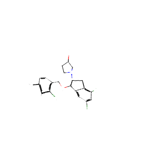 N#Cc1ccc(COC2c3cc(Cl)cc(Cl)c3C[C@@H]2N2CCC(O)C2)c(F)c1